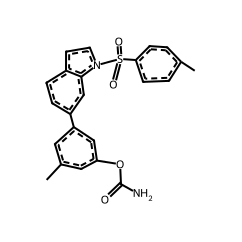 Cc1ccc(S(=O)(=O)n2ccc3ccc(-c4cc(C)cc(OC(N)=O)c4)cc32)cc1